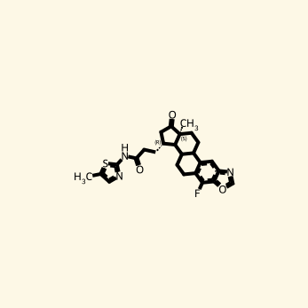 Cc1cnc(NC(=O)CC[C@@H]2CC(=O)[C@@]3(C)CCC4c5cc6ncoc6c(F)c5CCC4C23)s1